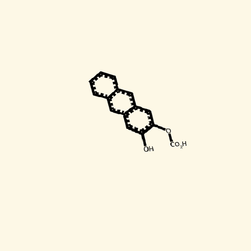 O=C(O)Oc1cc2cc3ccccc3cc2cc1O